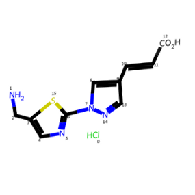 Cl.NCc1cnc(-n2cc(/C=C/C(=O)O)cn2)s1